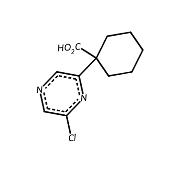 O=C(O)C1(c2cncc(Cl)n2)CCCCC1